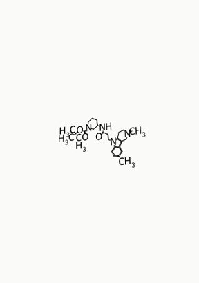 Cc1ccc2c(c1)c1c(n2CCC(=O)NC2CCCN(C(=O)OC(C)(C)C)C2)CCN(C)C1